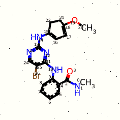 CNC(=O)c1ccccc1Nc1nc(NC2=CC=C(OC)CC2)ncc1Br